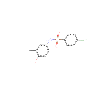 Cc1cc(NS(=O)(=O)c2ccc(Cl)cc2)ccc1O